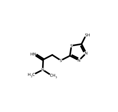 CN(C)C(=N)CSc1nnc(S)s1